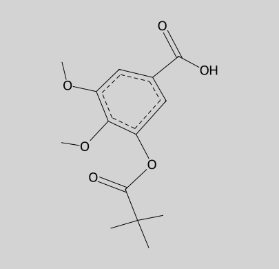 COc1cc(C(=O)O)cc(OC(=O)C(C)(C)C)c1OC